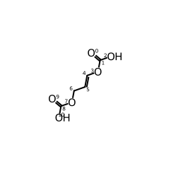 O=C(O)OC=CCOC(=O)O